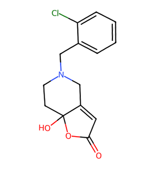 O=C1C=C2CN(Cc3ccccc3Cl)CCC2(O)O1